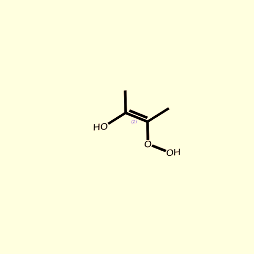 C/C(O)=C(\C)OO